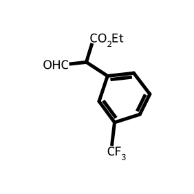 CCOC(=O)C(C=O)c1cccc(C(F)(F)F)c1